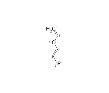 C=COC=CC(C)C